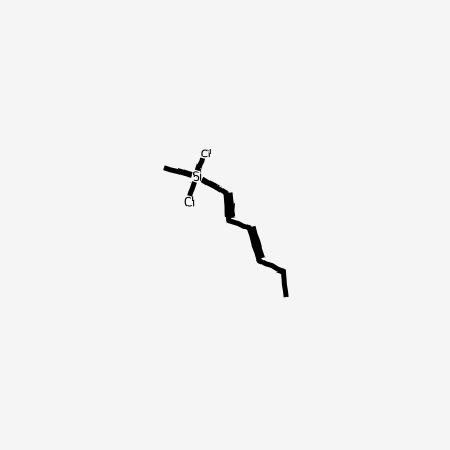 CC/C=C/C=C/[Si](C)(Cl)Cl